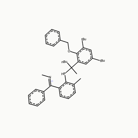 CCCCC(C)(Pc1c(C)cccc1/C(=N/C)c1ccccc1)c1cc(C(C)(C)C)cc(C(C)(C)C)c1OCc1ccccc1